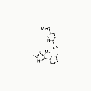 COc1ccc([C@H]2C[C@@H]2COc2nc(C)ncc2-c2ccnc(C)c2)nc1